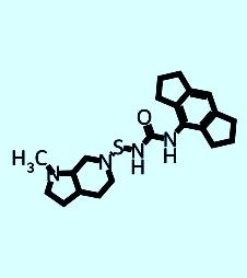 CN1CCC2CCN(SNC(=O)Nc3c4c(cc5c3CCC5)CCC4)CC21